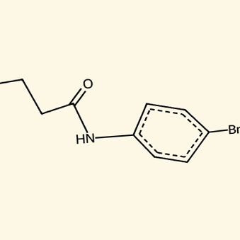 CCCC(=O)Nc1ccc(Br)cc1